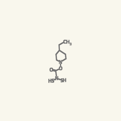 CCC1CCN(OC(=O)N(S)S)CC1